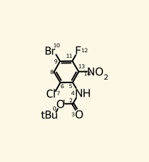 CC(C)(C)OC(=O)Nc1c(Cl)cc(Br)c(F)c1[N+](=O)[O-]